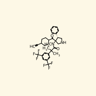 C#CC1CCC(C(=O)[C@@]2(N(C)C(=O)C(C)(C)c3cc(C(F)(F)F)cc(C(F)(F)F)c3)CNC[C@H]2c2ccccc2)CC1